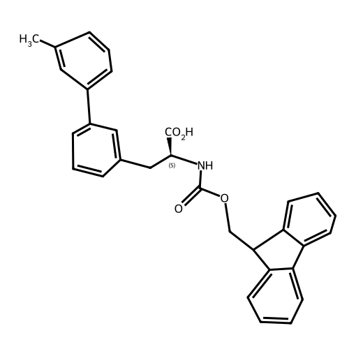 Cc1cccc(-c2cccc(C[C@H](NC(=O)OCC3c4ccccc4-c4ccccc43)C(=O)O)c2)c1